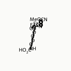 CC[C@@H]1[C@H](F)C(=O)N(CCOCCOCCOCCOCCNC(=O)O)[C@@H]1COc1nccc2cc(C#N)c(OC)cc12